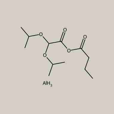 CCCC(=O)OC(=O)C(OC(C)C)OC(C)C.[AlH3]